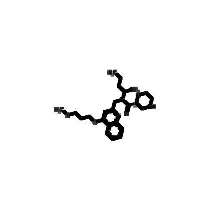 CCCC(C)N(Cc1cc(OCCCOC)c2ccccc2n1)C(=O)[C@H]1CNCCO1